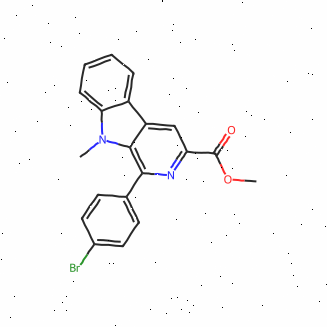 COC(=O)c1cc2c3ccccc3n(C)c2c(-c2ccc(Br)cc2)n1